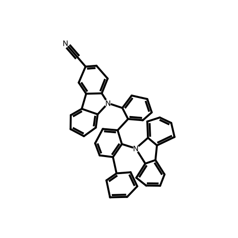 N#Cc1ccc2c(c1)c1ccccc1n2-c1ccccc1-c1cccc(-c2ccccc2)c1-n1c2ccccc2c2ccccc21